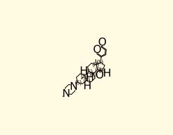 CN1CCN([C@H]2CC[C@@]3(C)[C@H](CC[C@@H]4[C@@H]3CC[C@]3(C)[C@@H](c5ccc(=O)oc5)C[C@H]5O[C@]453)C2)CC1